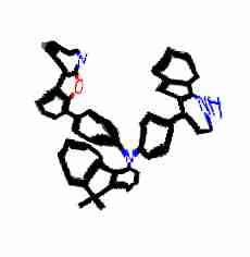 CC1(C)C2=C(C=CCC2)c2c(N(c3ccc(C4=CCNC5=C4CC4=C5CCC=C4)cc3)c3ccc(-c4cccc5c4oc4ncccc45)cc3)cccc21